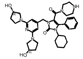 O=C(c1c(-c2ccccc2)n(C2CCCCC2)c(=O)n1Cc1cc(N2CC[C@@H](O)C2)nc(N2CC[C@@H](O)C2)c1)N1CCNCC1